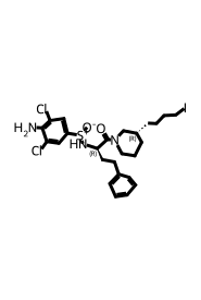 Nc1c(Cl)cc([S+]([O-])N[C@H](CCc2ccccc2)C(=O)N2CCC[C@@H](CCCCI)C2)cc1Cl